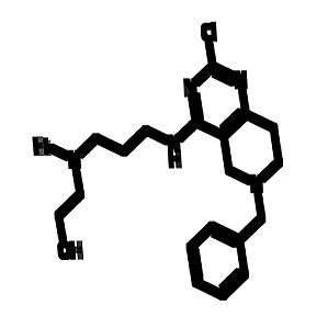 CCN(CCO)CCCNc1nc(Cl)nc2c1CN(Cc1ccccc1)CC2